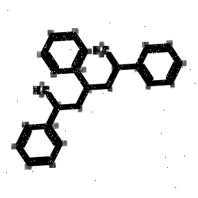 CC(CC(CC(C)c1ccccc1)c1ccccc1)c1ccccc1